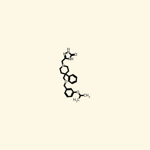 CC(C)Oc1cccc(COCC2(c3ccccc3)CCN(Cc3n[nH]c(=O)[nH]3)CC2)c1